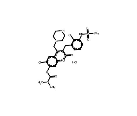 CNS(=O)(=O)Nc1cccc(Cc2c(CN3CCNCC3)c3cc(Cl)c(OC(=O)N(C)C)cc3oc2=O)c1Cl.Cl